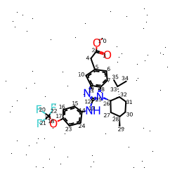 COC(=O)Cc1ccc2c(c1)nc(Nc1ccc(OC(F)(F)F)cc1)n2[C@@H]1C[C@H](C)CC[C@H]1C(C)C